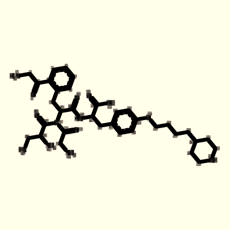 NCC(=O)c1ccccc1CC(C(=O)NC(Cc1ccc(OCCCCC2CCNCC2)cc1)C(=O)O)N(C(=O)CN)C(=O)C(N)CS